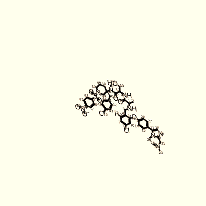 CC(NCc1c(F)cc(Cl)cc1Oc1ccc(-c2cnc(CN(C)C)n2C)cc1)C(=O)NC(CO)C(=O)N(C)[C@@]1(Cc2ccc(Cl)cc2)CCCN(S(=O)(=O)c2ccc([N+](=O)[O-])cc2)C1